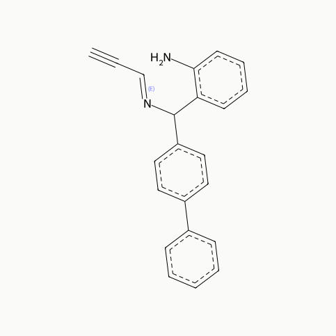 C#C/C=N/C(c1ccc(-c2ccccc2)cc1)c1ccccc1N